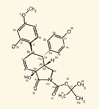 COc1ccc([C@@H]2C=C[C@@]3(O)C(=O)N(C(=O)OC(C)(C)C)C[C@H]3[C@H]2c2ccc(Cl)cc2)c(Cl)c1